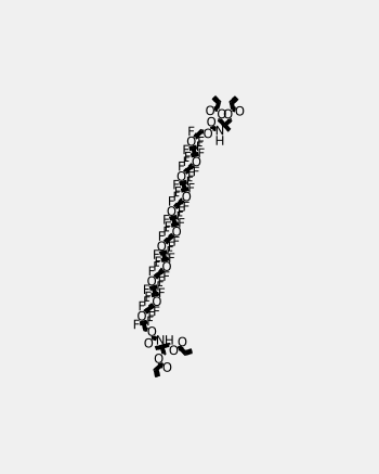 C=CC(=O)OCC(C)(COC(=O)C=C)NC(=O)OCC(F)(F)OC(F)(F)C(F)(F)OC(F)(F)C(F)(F)OC(F)(F)C(F)(F)OC(F)(F)C(F)(F)OC(F)(F)C(F)(F)OC(F)(F)C(F)(F)OC(F)(F)C(F)(F)OC(F)(F)C(F)(F)OC(F)(F)C(F)(F)OC(F)(F)C(F)(F)OC(F)(F)COC(=O)NC(C)(COC(=O)C=C)COC(=O)C=C